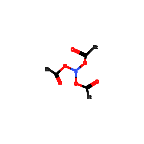 CCC(=O)ON(OC(=O)CC)OC(=O)CC